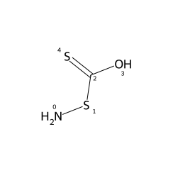 NSC(O)=S